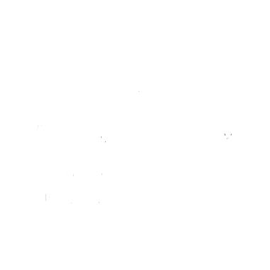 CCCOc1ccc(F)c2c(=O)c(-c3ccc(OC)cc3)cn(COP(=O)(O)OC(C)(C)C)c12